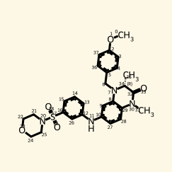 COc1ccc(CN2c3cc(Nc4cccc(S(=O)(=O)N5CCOCC5)c4)ccc3N(C)C(=O)[C@H]2C)cc1